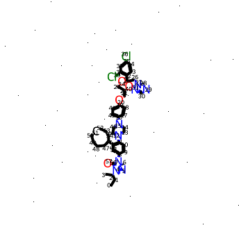 CCC(C)n1ncn(-c2ccc(N3CCN(c4ccc(OCC5COC(Cn6cncn6)(c6ccc(Cl)cc6Cl)O5)cc4)CC3)c(C3CCCCCCCC3)c2)c1=O